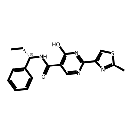 CC[C@H](NC(=O)c1cnc(-c2csc(C)n2)nc1O)c1ccccc1